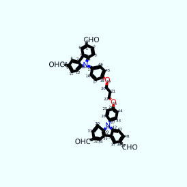 O=Cc1ccc2c(c1)c1cc(C=O)ccc1n2-c1ccc(OCCCOc2ccc(-n3c4ccc(C=O)cc4c4cc(C=O)ccc43)cc2)cc1